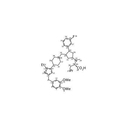 CCn1nc(Cc2ccc(OC)c(OC)c2)cc1C1CCN(CC2CC(N(C)[C@H](CC(C)C)C(=O)O)CC2c2cccc(F)c2)CC1